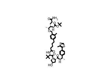 Cc1cc(CCCCC(=O)N[C@H](C(=O)N2C[C@H](O)C[C@H]2C(=O)N[C@@H](C)c2ccc(-c3scnc3C)cc2)C(C)(C)C)ccc1CO[C@H](C)[C@H](CCC(N)=O)NC(=O)OC(C)(C)C